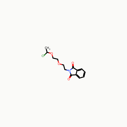 CC(Cl)OCCOCCN1C(=O)c2ccccc2C1=O